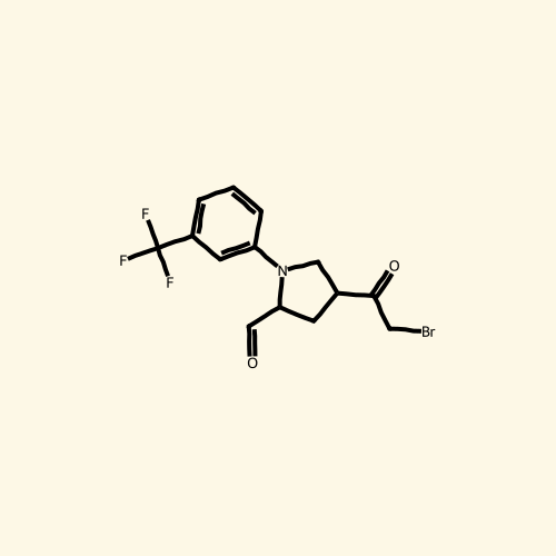 O=CC1CC(C(=O)CBr)CN1c1cccc(C(F)(F)F)c1